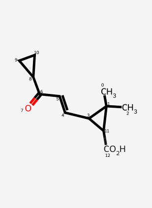 CC1(C)C(C=CC(=O)C2CC2)C1C(=O)O